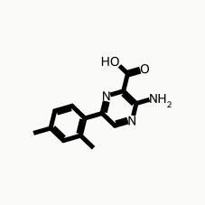 Cc1ccc(-c2cnc(N)c(C(=O)O)n2)c(C)c1